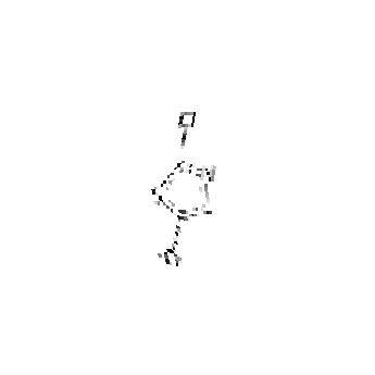 [O]c1cnc(Cl)s1